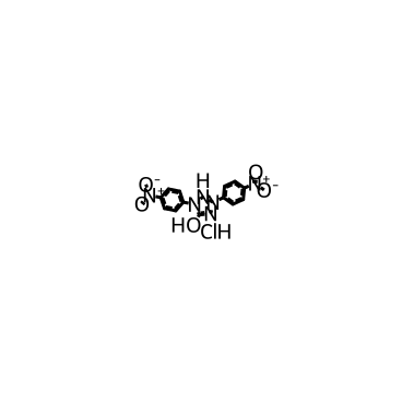 Cl.O=[N+]([O-])c1ccc(N2N=C(O)N(c3ccc([N+](=O)[O-])cc3)N2)cc1